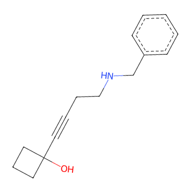 OC1(C#CCCNCc2ccccc2)CCC1